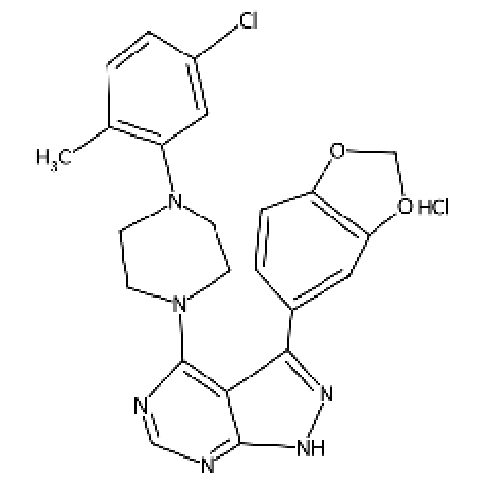 Cc1ccc(Cl)cc1N1CCN(c2ncnc3[nH]nc(-c4ccc5c(c4)OCO5)c23)CC1.Cl